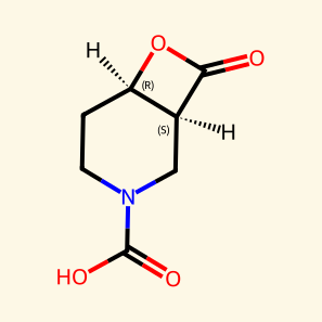 O=C1O[C@@H]2CCN(C(=O)O)C[C@H]12